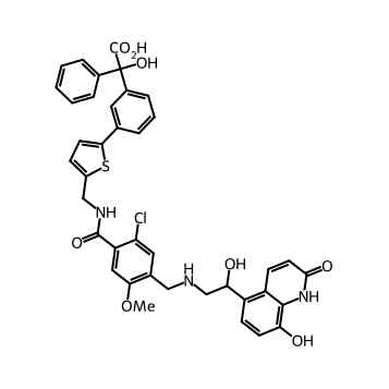 COc1cc(C(=O)NCc2ccc(-c3cccc(C(O)(C(=O)O)c4ccccc4)c3)s2)c(Cl)cc1CNCC(O)c1ccc(O)c2[nH]c(=O)ccc12